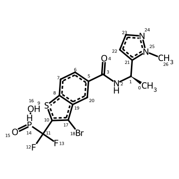 C[C@@H](NC(=O)c1ccc2sc(C(F)(F)[PH](=O)O)c(Br)c2c1)c1ccnn1C